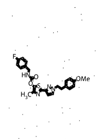 COc1ccc(CCn2ccc(-c3nc(C)c(OC(=O)NCc4ccc(F)cc4)s3)n2)cc1